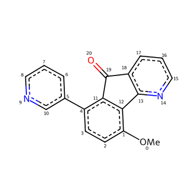 COc1ccc(-c2cccnc2)c2c1-c1ncccc1C2=O